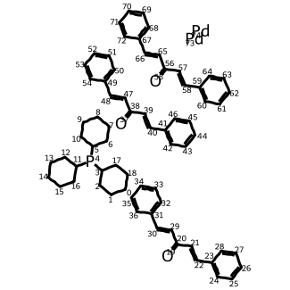 C1CCC(P(C2CCCCC2)C2CCCCC2)CC1.O=C(C=Cc1ccccc1)C=Cc1ccccc1.O=C(C=Cc1ccccc1)C=Cc1ccccc1.O=C(C=Cc1ccccc1)C=Cc1ccccc1.[Pd].[Pd]